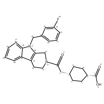 O=C(C[C@H]1CC[C@@H](C(=O)O)CC1)N1CCc2c(n(Cc3cccc(F)c3)c3ncccc23)C1